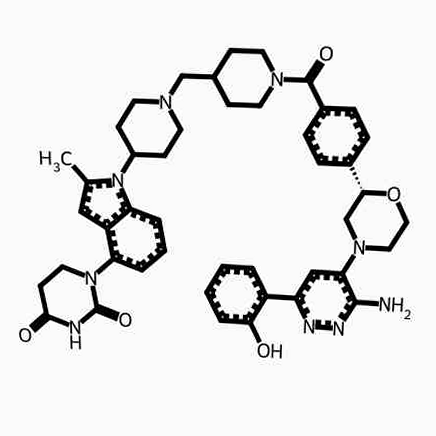 Cc1cc2c(N3CCC(=O)NC3=O)cccc2n1C1CCN(CC2CCN(C(=O)c3ccc([C@H]4CN(c5cc(-c6ccccc6O)nnc5N)CCO4)cc3)CC2)CC1